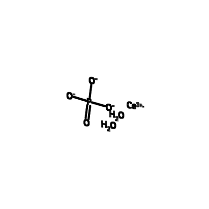 O.O.O=P([O-])([O-])[O-].[Ce+3]